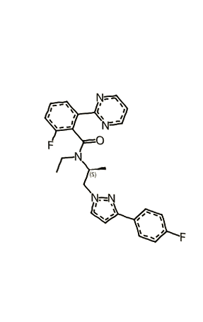 CCN(C(=O)c1c(F)cccc1-c1ncccn1)[C@@H](C)Cn1ccc(-c2ccc(F)cc2)n1